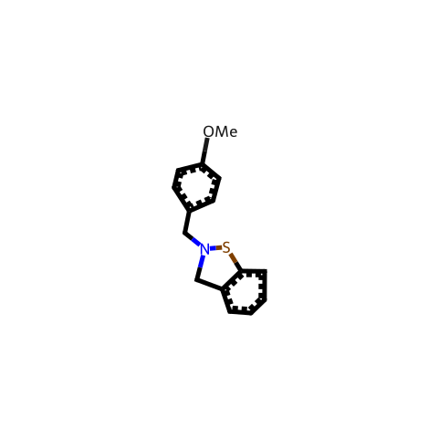 COc1ccc(CN2Cc3ccccc3S2)cc1